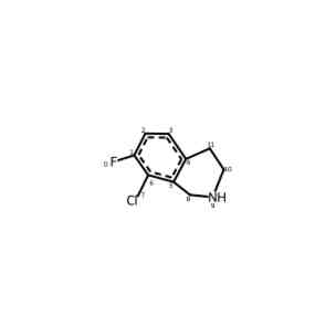 Fc1ccc2c(c1Cl)CNCC2